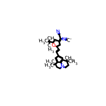 [C-]#[N+]/C(C#N)=C1\CC(/C=C/c2cc3c4c(c2)C(C)(C)CCN4CCC3(C)C)OC(C(C)(C)C)C1